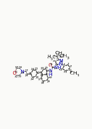 Cc1ccc(-n2nc(C(C)(C)C)cc2NC(=O)Nc2ccc(-c3ccc(CCN4CCOCC4)cc3)c3ccccc23)cc1